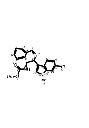 CC(C)(C)OC(=O)NCC(/N=C\c1ccccc1)C1=C[NH+]([O-])c2cc(Cl)ccc21